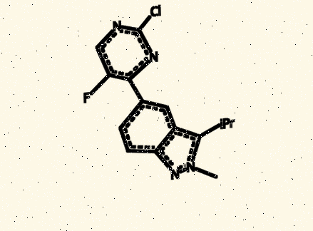 CC(C)c1c2cc(-c3nc(Cl)ncc3F)ccc2nn1C